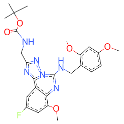 COc1ccc(CNc2nc3c(OC)cc(F)cc3c3nc(CNC(=O)OC(C)(C)C)nn23)c(OC)c1